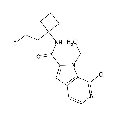 CCn1c(C(=O)NC2(CCF)CCC2)cc2ccnc(Cl)c21